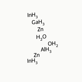 O.O.[AlH3].[GaH3].[InH3].[InH3].[Zn].[Zn]